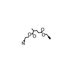 C#CCOC(=O)CCC(C)C(=O)OCCC#N